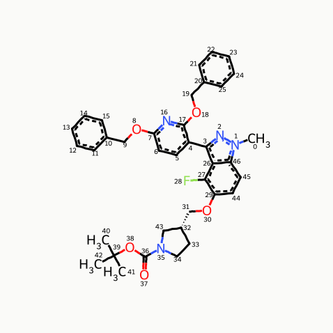 Cn1nc(-c2ccc(OCc3ccccc3)nc2OCc2ccccc2)c2c(F)c(OC[C@@H]3CCN(C(=O)OC(C)(C)C)C3)ccc21